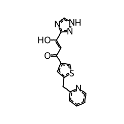 O=C(C=C(O)c1nc[nH]n1)c1csc(Cc2ccccn2)c1